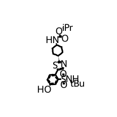 CC(C)OC(=O)N[C@H]1CC[C@H](c2ncc(-c3ccc(O)cc3S(=O)(=O)NC(C)(C)C)s2)CC1